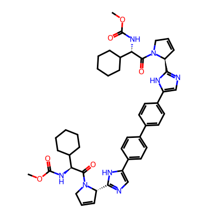 COC(=O)N[C@H](C(=O)N1CC=C[C@H]1c1ncc(-c2ccc(-c3ccc(-c4cnc([C@@H]5C=CCN5C(=O)[C@@H](NC(=O)OC)C5CCCCC5)[nH]4)cc3)cc2)[nH]1)C1CCCCC1